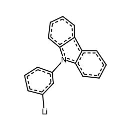 [Li][c]1cccc(-n2c3ccccc3c3ccccc32)c1